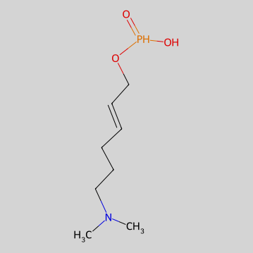 CN(C)CCCC=CCO[PH](=O)O